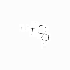 CC(C)(C)N1CCCC2(CCN(I)C2)C1